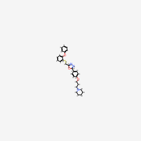 c1ccc(Oc2ccccc2SCc2nnc(-c3ccc(OCCCN4CCCCC4)cc3)o2)cc1